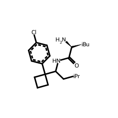 CC[C@H](C)[C@H](N)C(=O)NC(CC(C)C)C1(c2ccc(Cl)cc2)CCC1